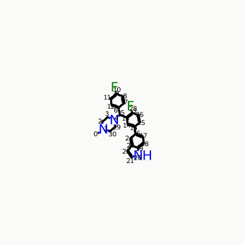 CN1CCN(C(c2ccc(F)cc2)c2cc(-c3ccc4[nH]ccc4c3)ccc2F)CC1